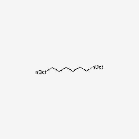 CC[CH]CCCCCCCCCCCCCCCCCCC